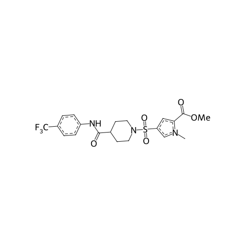 COC(=O)c1cc(S(=O)(=O)N2CCC(C(=O)Nc3ccc(C(F)(F)F)cc3)CC2)cn1C